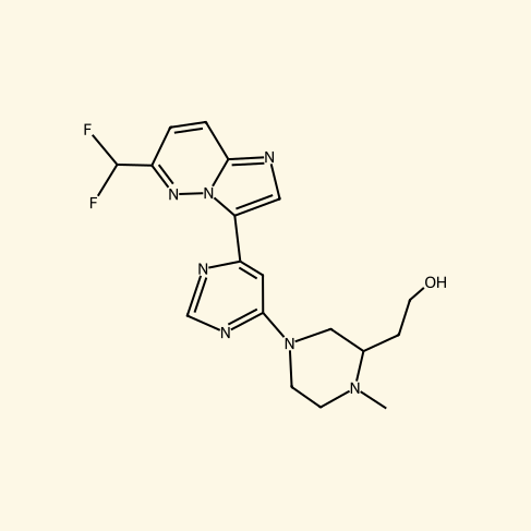 CN1CCN(c2cc(-c3cnc4ccc(C(F)F)nn34)ncn2)CC1CCO